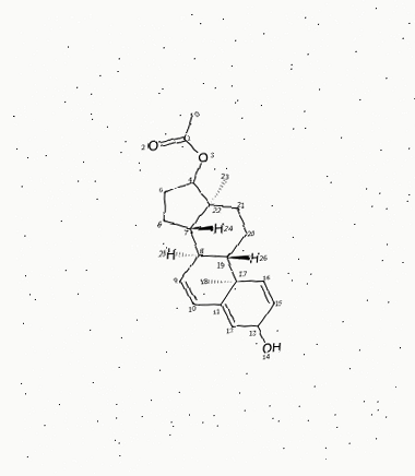 CC(=O)OC1CC[C@H]2[C@@H]3C=CC4=CC(O)C=C[C@]4(C)[C@H]3CC[C@]12C